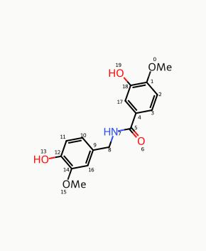 COc1ccc(C(=O)NCc2ccc(O)c(OC)c2)cc1O